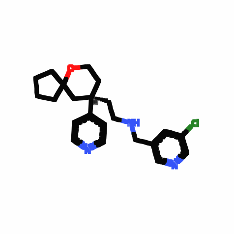 Clc1cncc(CNCC[C@@]2(c3ccncc3)CCOC3(CCCC3)C2)c1